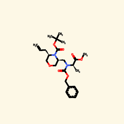 C=CC[C@H]1COC[C@@H](CN(C(=O)OCc2ccccc2)[C@@H](C)C(=O)OC)N1C(=O)OC(C)(C)C